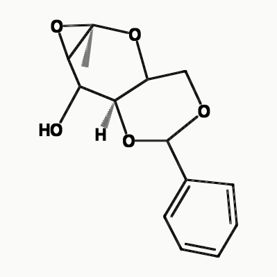 C[C@]12OC3COC(c4ccccc4)O[C@H]3C(O)C1O2